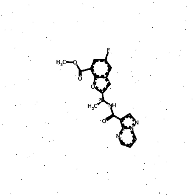 COC(=O)c1cc(F)cc2cc([C@H](C)NC(=O)c3cnn4cccnc34)oc12